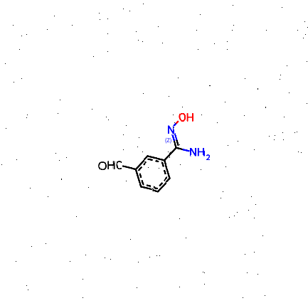 N/C(=N\O)c1cccc(C=O)c1